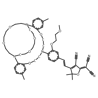 COCCOc1cc(/C=C/C2=C(C#N)C(=C(C#N)C#N)OC2(C)C)ccc1N1CCOc2cc(C)ccc2N2CCOCCOCCN(CCOCCOCC2)c2ccc(C)cc2OCC1